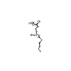 CCCCCCCCCCCC(=O)OO.[NaH]